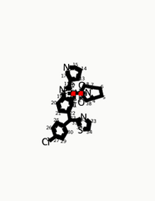 O=S(=O)(N1C2CCC1CC(n1c(-c3cccnc3)nc3ccc(C(c4ccc(Cl)cc4)c4nccs4)cc31)C2)C(F)(F)F